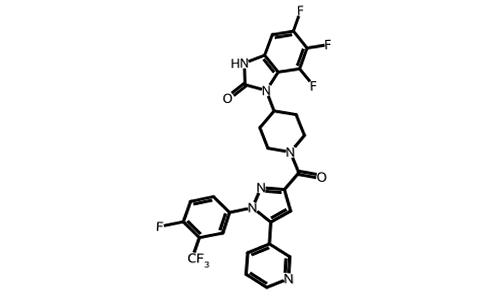 O=C(c1cc(-c2cccnc2)n(-c2ccc(F)c(C(F)(F)F)c2)n1)N1CCC(n2c(=O)[nH]c3cc(F)c(F)c(F)c32)CC1